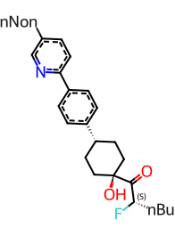 CCCCCCCCCc1ccc(-c2ccc([C@H]3CC[C@@](O)(C(=O)[C@@H](F)CCCC)CC3)cc2)nc1